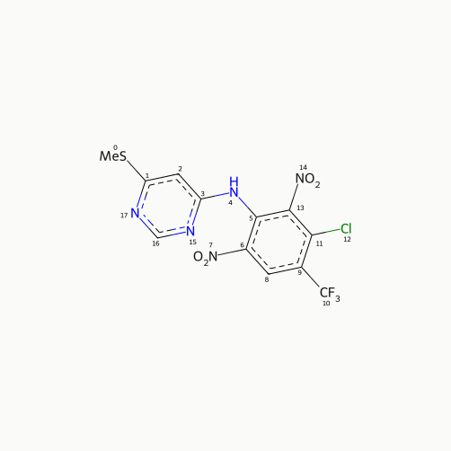 CSc1cc(Nc2c([N+](=O)[O-])cc(C(F)(F)F)c(Cl)c2[N+](=O)[O-])ncn1